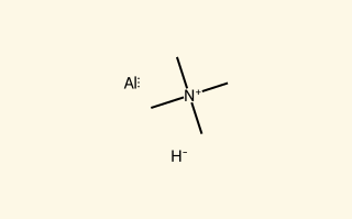 C[N+](C)(C)C.[Al].[H-]